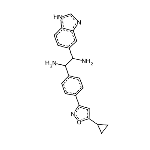 NC(c1ccc(-c2cc(C3CC3)on2)cc1)C(N)c1ccc2[nH]cnc2c1